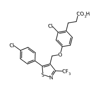 O=C(O)CCc1ccc(OCc2c(C(F)(F)F)nsc2-c2ccc(Cl)cc2)cc1Cl